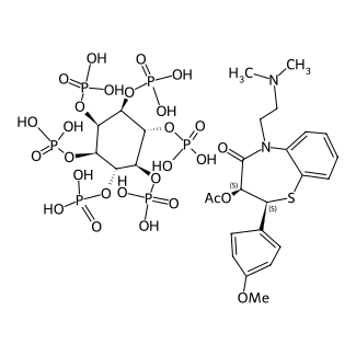 COc1ccc([C@@H]2Sc3ccccc3N(CCN(C)C)C(=O)[C@@H]2OC(C)=O)cc1.O=P(O)(O)O[C@H]1[C@H](OP(=O)(O)O)[C@@H](OP(=O)(O)O)[C@H](OP(=O)(O)O)[C@@H](OP(=O)(O)O)[C@H]1OP(=O)(O)O